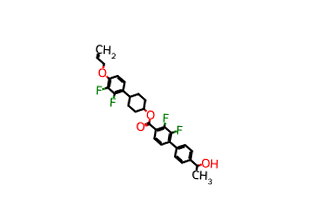 C=CCOc1ccc(C2CCC(OC(=O)c3ccc(-c4ccc(C(C)O)cc4)c(F)c3F)CC2)c(F)c1F